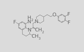 C=C(CN1CCC(CCOc2ccc(F)c(F)c2)CC1)N1c2c(N)cc(F)cc2CCC1C